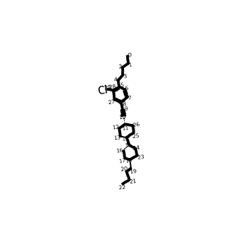 CCCCCc1ccc(C#C[C@H]2CC[C@H]([C@H]3CC[C@H](CCCC)CC3)CC2)cc1Cl